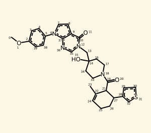 COc1ccc(-n2ccc3c(=O)n(CC4(O)CCN(C(=O)C5C(C)=CCCC5c5ccsc5)CC4)cnc32)cc1